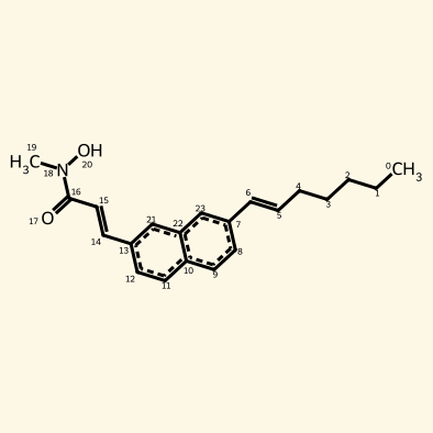 CCCCCC=Cc1ccc2ccc(C=CC(=O)N(C)O)cc2c1